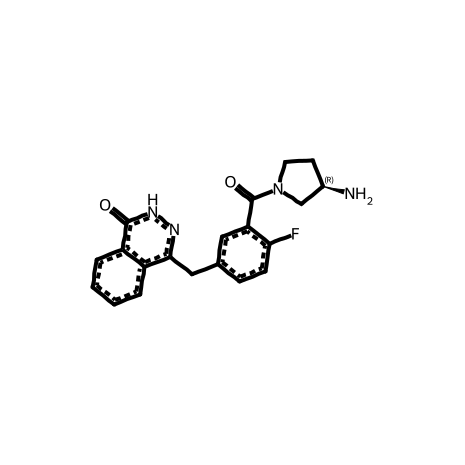 N[C@@H]1CCN(C(=O)c2cc(Cc3n[nH]c(=O)c4ccccc34)ccc2F)C1